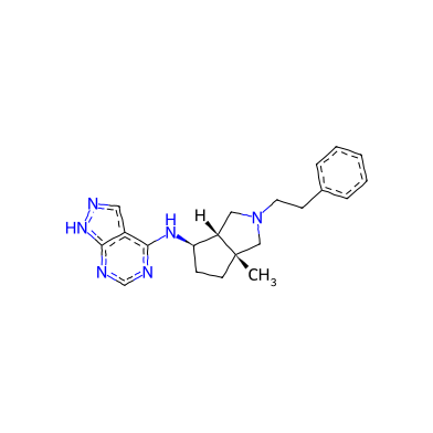 C[C@@]12CC[C@@H](Nc3ncnc4[nH]ncc34)[C@@H]1CN(CCc1ccccc1)C2